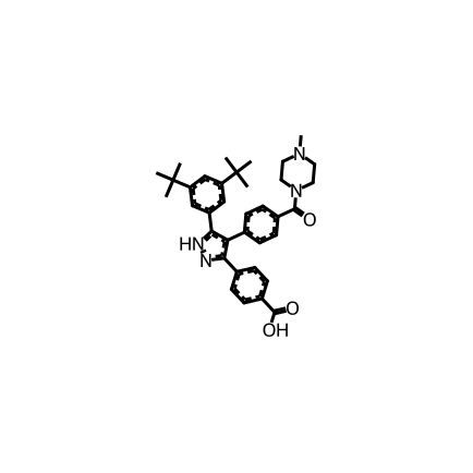 CN1CCN(C(=O)c2ccc(-c3c(-c4ccc(C(=O)O)cc4)n[nH]c3-c3cc(C(C)(C)C)cc(C(C)(C)C)c3)cc2)CC1